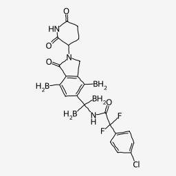 Bc1cc(C(B)(B)NC(=O)C(F)(F)c2ccc(Cl)cc2)c(B)c2c1C(=O)N(C1CCC(=O)NC1=O)C2